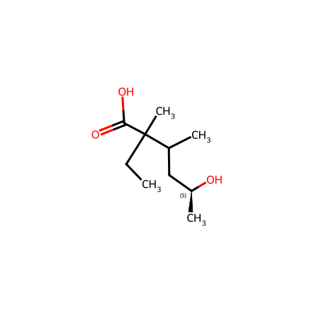 CCC(C)(C(=O)O)C(C)C[C@H](C)O